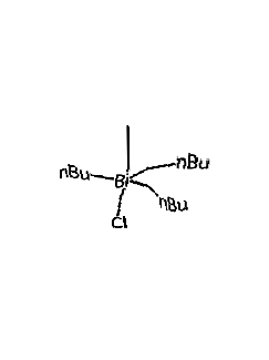 CCC[CH2][Bi]([CH3])([Cl])([CH2]CCC)[CH2]CCC